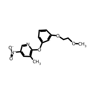 COCCOc1[c]c(Oc2ncc([N+](=O)[O-])cc2C)ccc1